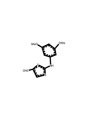 COc1cc(Nc2ncc(C=O)s2)cc(OC)c1